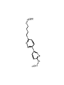 CCCCCCCCOc1ccc(-c2ccc(CCCCOCCCCCC)nn2)cn1